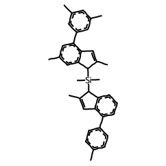 CC1=Cc2c(-c3ccc(C)cc3)cccc2C1[Si](C)(C)C1C(C)=Cc2c(-c3cc(C)cc(C)c3)cc(C)cc21